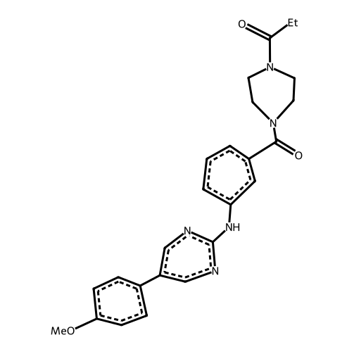 CCC(=O)N1CCN(C(=O)c2cccc(Nc3ncc(-c4ccc(OC)cc4)cn3)c2)CC1